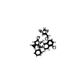 C[C@H]1CCCC[C@H]1C(=O)N1CCc2c(Cl)ccc(OCc3cn(C)cn3)c2[C@H]1CN1CC2(CC2)CC1=O